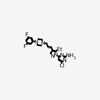 CCc1c(/C=C/CN2CCN(c3cc(F)cc(F)c3)CC2)cnn1-c1cc(Cl)nc(N)n1